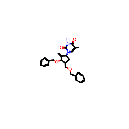 C=C1C(OCc2ccccc2)C(COCc2ccccc2)CC1n1cc(C)c(=O)[nH]c1=O